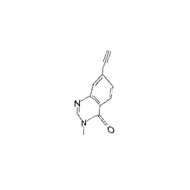 C#Cc1ccc2c(=O)n(C)cnc2c1